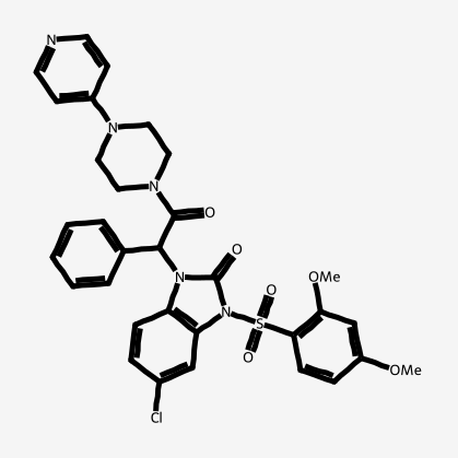 COc1ccc(S(=O)(=O)n2c(=O)n(C(C(=O)N3CCN(c4ccncc4)CC3)c3ccccc3)c3ccc(Cl)cc32)c(OC)c1